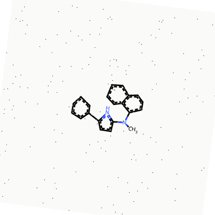 CN(c1ccc(-c2ccccc2)[nH]1)c1cccc2ccccc12